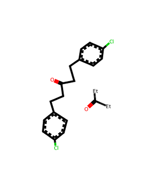 CCC(=O)CC.O=C(CCc1ccc(Cl)cc1)CCc1ccc(Cl)cc1